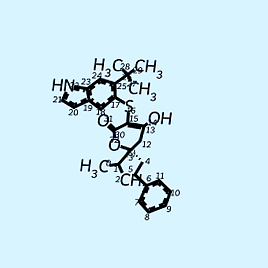 CC(C)[C@]1(CCc2ccccc2)CC(O)=C(Sc2cc3cc[nH]c3cc2C(C)(C)C)C(=O)O1